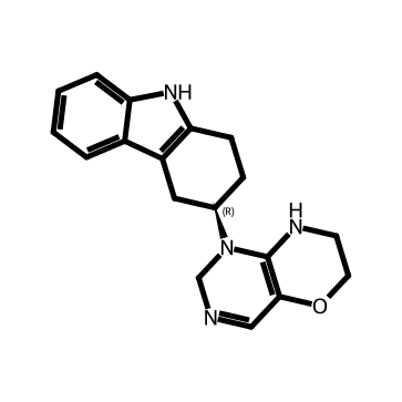 C1=NCN([C@@H]2CCc3[nH]c4ccccc4c3C2)C2=C1OCCN2